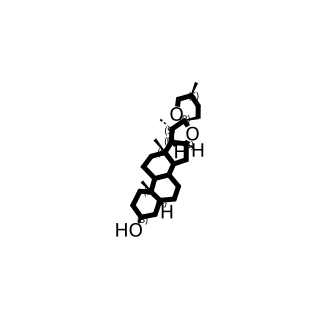 C[C@H]1CC[C@@]2(OC1)O[C@H]1CC3C4CC[C@@H]5C[C@@H](O)CC[C@]5(C)C4CC[C@]3(C)[C@H]1[C@@H]2C